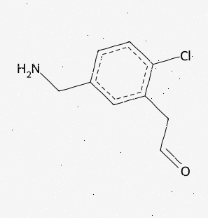 NCc1ccc(Cl)c(CC=O)c1